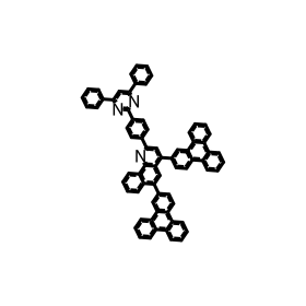 c1ccc(-c2cc(-c3ccccc3)nc(-c3ccc(-c4cc(-c5ccc6c7ccccc7c7ccccc7c6c5)c5cc(-c6ccc7c8ccccc8c8ccccc8c7c6)c6ccccc6c5n4)cc3)n2)cc1